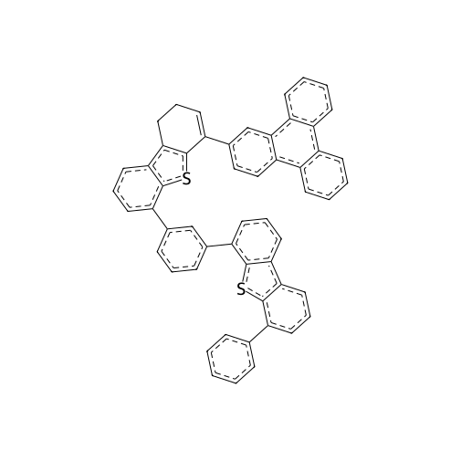 C1=C(c2ccc3c4ccccc4c4ccccc4c3c2)c2sc3c(-c4cccc(-c5cccc6c5sc5c(-c7ccccc7)cccc56)c4)cccc3c2CC1